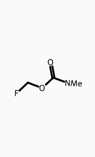 CNC(=O)OCF